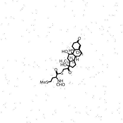 CSCCC(NC=O)C(=O)SCC(=O)[C@@]1(O)CC[C@H]2[C@@H]3CCC4=CC(=O)CC[C@]4(C)[C@H]3C(O)C[C@@]21C